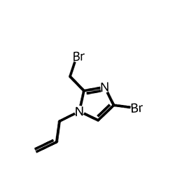 C=CCn1cc(Br)nc1CBr